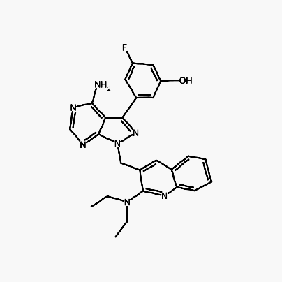 CCN(CC)c1nc2ccccc2cc1Cn1nc(-c2cc(O)cc(F)c2)c2c(N)ncnc21